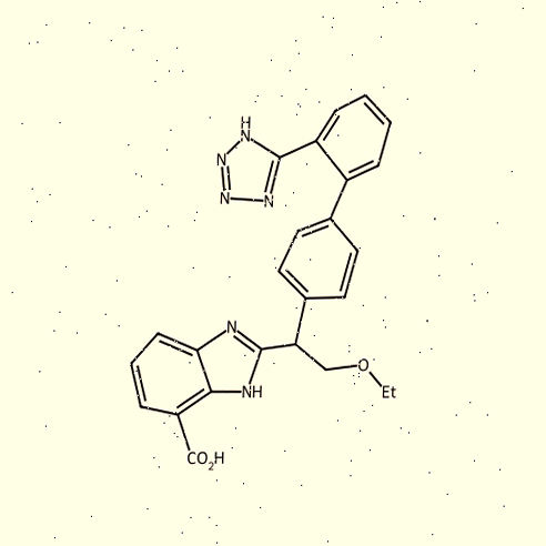 CCOCC(c1ccc(-c2ccccc2-c2nnn[nH]2)cc1)c1nc2cccc(C(=O)O)c2[nH]1